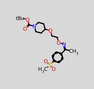 C/C(=N/OCCOC1CCN(C(=O)OC(C)(C)C)CC1)c1ccc(S(C)(=O)=O)cc1